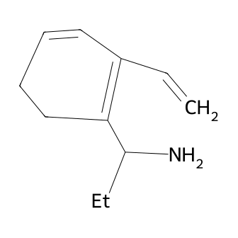 C=CC1=C(C(N)CC)CCC=C1